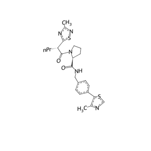 CCC[C@@H](C(=O)N1CCC[C@H]1C(=O)NCc1ccc(-c2scnc2C)cc1)c1nc(C)ns1